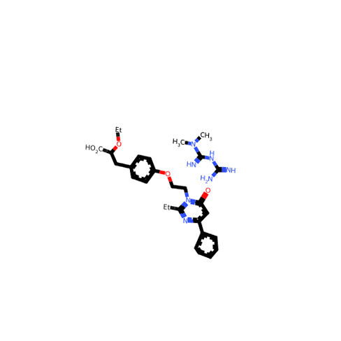 CCOC(Cc1ccc(OCCn2c(CC)nc(-c3ccccc3)cc2=O)cc1)C(=O)O.CN(C)C(=N)NC(=N)N